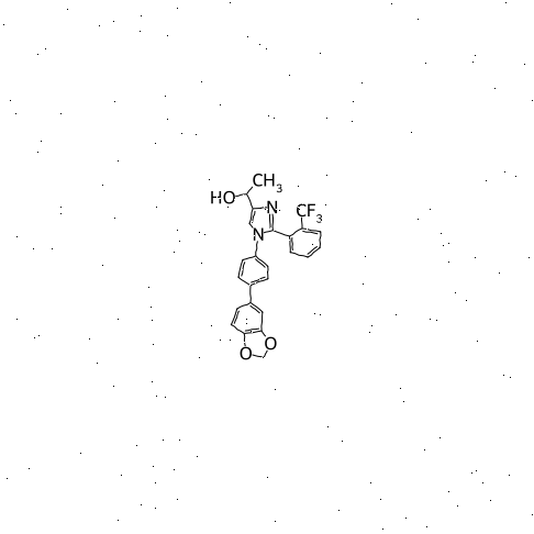 CC(O)c1cn(-c2ccc(-c3ccc4c(c3)OCO4)cc2)c(-c2ccccc2C(F)(F)F)n1